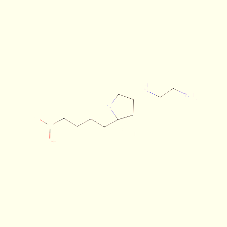 NCCN[C@H]1CN[C@@](CCCCB(O)O)(C(=O)O)C1